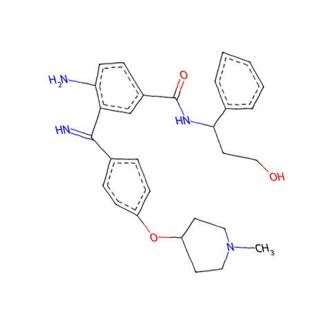 CN1CCC(Oc2ccc(C(=N)c3cc(C(=O)NC(CCO)c4ccccc4)ccc3N)cc2)CC1